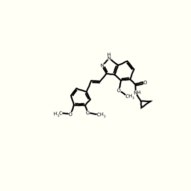 COc1ccc(C=Cc2n[nH]c3ccc(C(=O)NC4CC4)c(OC)c23)cc1OC